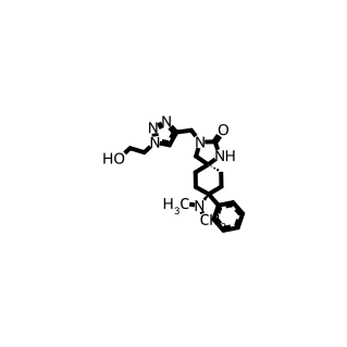 CN(C)[C@]1(c2ccccc2)CC[C@]2(CC1)CN(Cc1cn(CCO)nn1)C(=O)N2